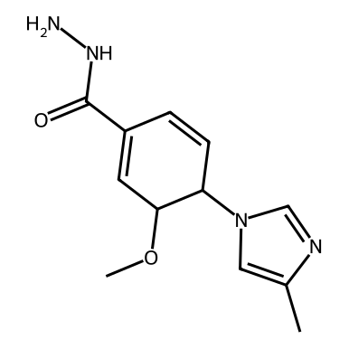 COC1C=C(C(=O)NN)C=CC1n1cnc(C)c1